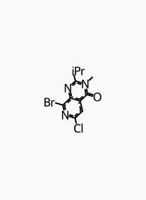 CC(C)c1nc2c(Br)nc(Cl)cc2c(=O)n1C